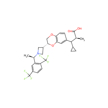 C[C@H](C(=O)O)C(c1ccc2c(c1)O[C@H](C1CN([C@H](C)c3cc(C(F)(F)F)ccc3C(F)(F)F)C1)CO2)C1CC1